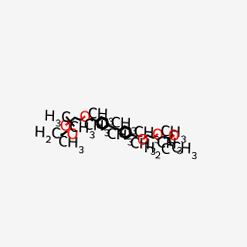 C=C(C)C(=O)OC(C)(C)CCOC(C)(C)c1ccc(C(C)(C)c2ccc(C(C)(C)OCCOC(C)(C)C(=O)C(=C)C)cc2)cc1